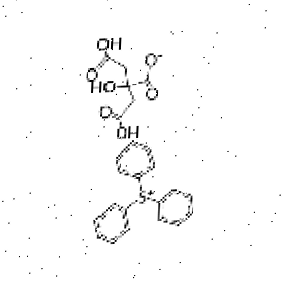 O=C(O)CC(O)(CC(=O)O)C(=O)[O-].c1ccc([S+](c2ccccc2)c2ccccc2)cc1